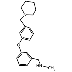 CNCc1cccc(Oc2cccc(CN3CCCCC3)c2)c1